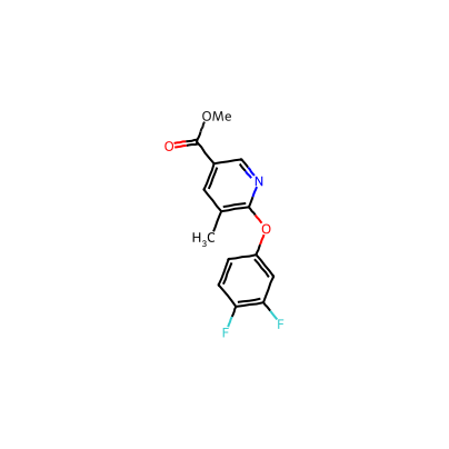 COC(=O)c1cnc(Oc2ccc(F)c(F)c2)c(C)c1